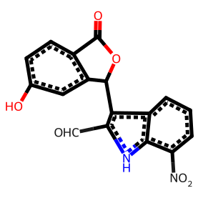 O=Cc1[nH]c2c([N+](=O)[O-])cccc2c1C1OC(=O)c2ccc(O)cc21